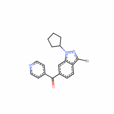 CCc1nn(C2CCCC2)c2cc(C(=O)c3ccncc3)ccc12